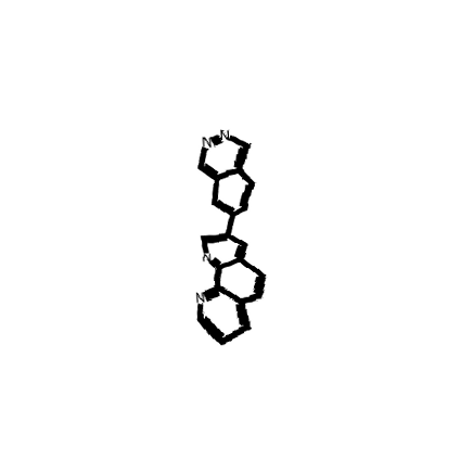 c1cnc2c(c1)ccc1cc(-c3ccc4cnncc4c3)cnc12